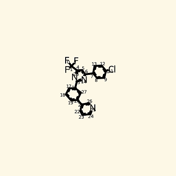 FC(F)(F)c1cc(-c2ccc(Cl)cc2)nc(-c2cccc(-c3cccnc3)c2)n1